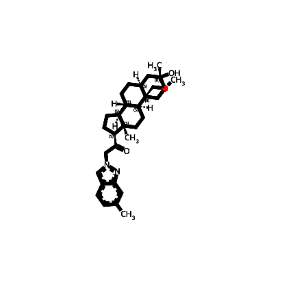 COC[C@]12CC[C@@](C)(O)C[C@@H]1CC[C@H]1[C@@H]3CC[C@H](C(=O)Cn4cc5ccc(C)cc5n4)[C@@]3(C)CC[C@@H]12